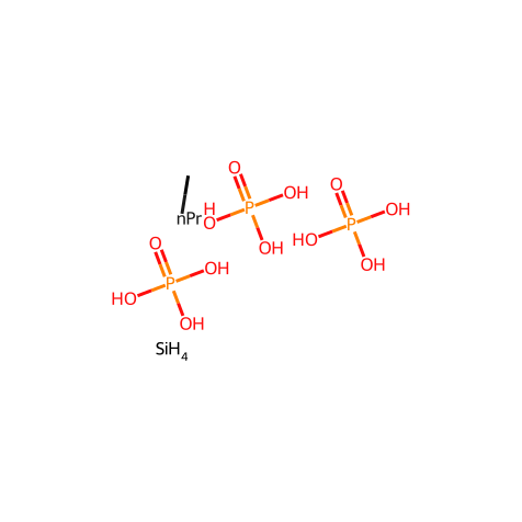 CCCC.O=P(O)(O)O.O=P(O)(O)O.O=P(O)(O)O.[SiH4]